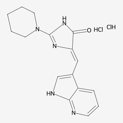 Cl.Cl.O=C1NC(N2CCCCC2)=N/C1=C\c1c[nH]c2ncccc12